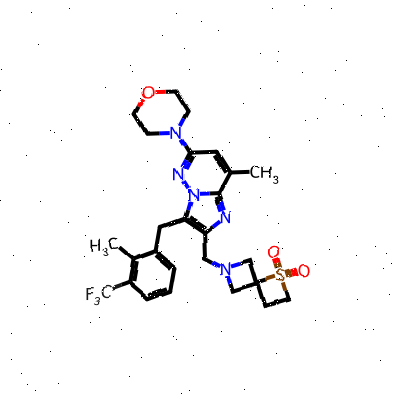 Cc1c(Cc2c(CN3CC4(CCS4(=O)=O)C3)nc3c(C)cc(N4CCOCC4)nn23)cccc1C(F)(F)F